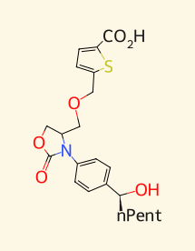 CCCCC[C@H](O)c1ccc(N2C(=O)OCC2COCc2ccc(C(=O)O)s2)cc1